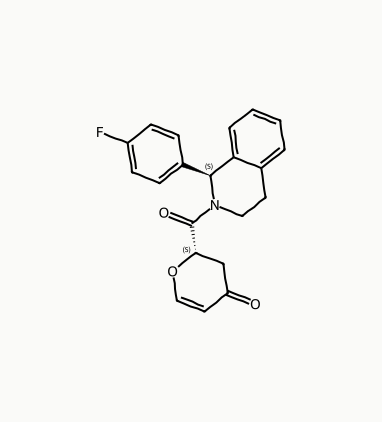 O=C1C=CO[C@H](C(=O)N2CCc3ccccc3[C@@H]2c2ccc(F)cc2)C1